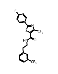 O=C(NCCc1cccc(C(F)(F)F)c1)c1sc(-c2ccc(F)cc2)nc1C(F)(F)F